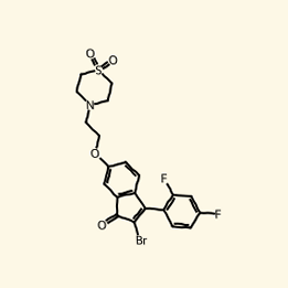 O=C1C(Br)=C(c2ccc(F)cc2F)c2ccc(OCCN3CCS(=O)(=O)CC3)cc21